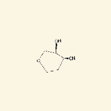 N#C[C@H]1CCOC[C@H]1O